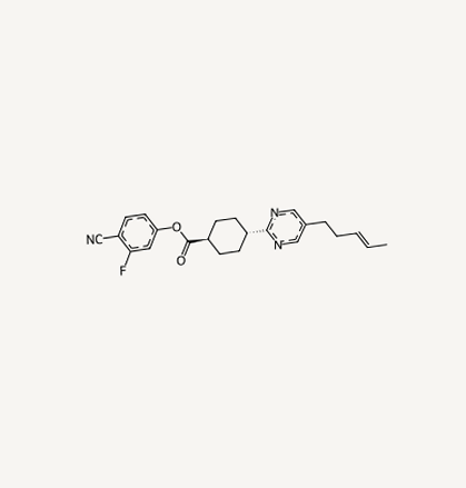 C/C=C/CCc1cnc([C@H]2CC[C@H](C(=O)Oc3ccc(C#N)c(F)c3)CC2)nc1